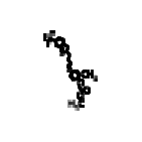 CCOC(=O)COc1ccc(SCCCC2Cc3ccc(C(F)(F)F)cc3S2)cc1C